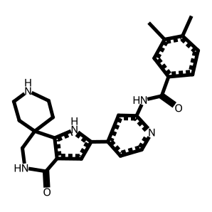 Cc1ccc(C(=O)Nc2cc(-c3cc4c([nH]3)C3(CCNCC3)CNC4=O)ccn2)cc1C